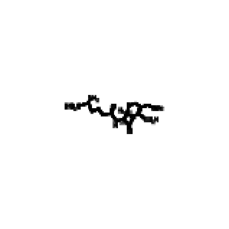 CC(=O)OCC1=C(C(=O)O)N2C(=O)[C@@H](NC(=O)CCCC(N)C(=O)O)[C@H]2SC1